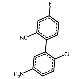 N#Cc1cc(F)ccc1-c1cc(N)ccc1Cl